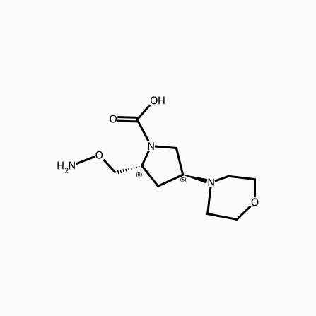 NOC[C@H]1C[C@H](N2CCOCC2)CN1C(=O)O